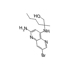 CCCCC(C)(CO)Nc1cc(N)nc2cc(Br)cnc12